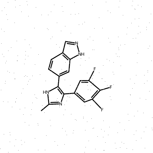 Cc1nc(-c2cc(F)c(F)c(F)c2)c(-c2ccc3cn[nH]c3c2)[nH]1